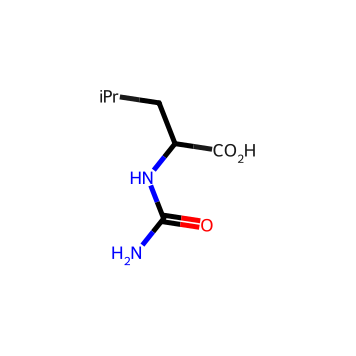 CC(C)CC(NC(N)=O)C(=O)O